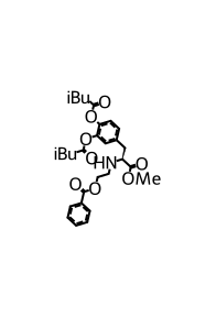 CCC(C)C(=O)Oc1ccc(C[C@H](NCCOC(=O)c2ccccc2)C(=O)OC)cc1OC(=O)C(C)CC